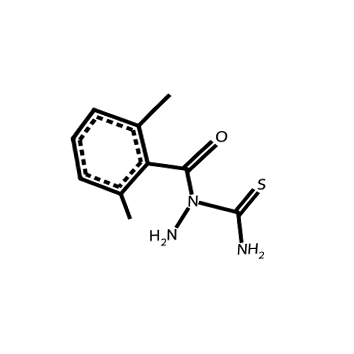 Cc1cccc(C)c1C(=O)N(N)C(N)=S